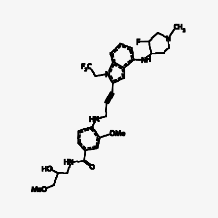 COCC(O)CNC(=O)c1ccc(NCC#Cc2cc3c(NC4CCN(C)CC4F)cccc3n2CC(F)(F)F)c(OC)c1